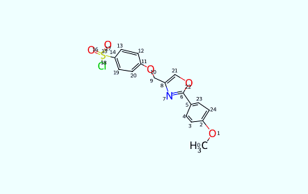 COc1ccc(-c2nc(COc3ccc(S(=O)(=O)Cl)cc3)co2)cc1